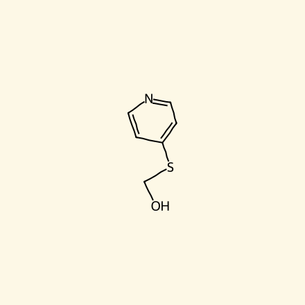 OCSc1ccncc1